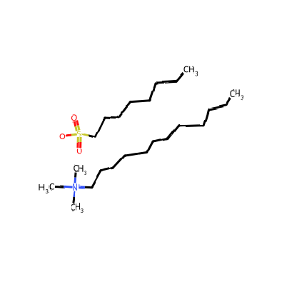 CCCCCCCCCCCC[N+](C)(C)C.CCCCCCCCS(=O)(=O)[O-]